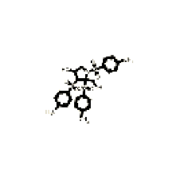 Cc1ccc(S(=O)(=O)C2C(O)CN(S(=O)(=O)c3ccc(C)cc3)C2(CO)S(=O)(=O)c2ccc(C)cc2)cc1